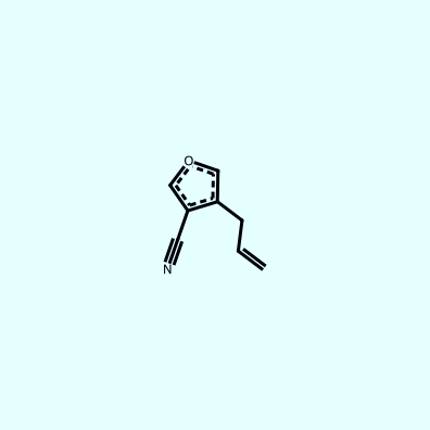 C=CCc1cocc1C#N